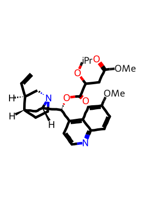 C=C[C@H]1C[N@]2CC[C@H]1C[C@H]2[C@H](OC(=O)C(CC(=O)OC)OC(C)C)c1ccnc2ccc(OC)cc12